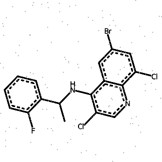 CC(Nc1c(Cl)cnc2c(Cl)cc(Br)cc12)c1ccccc1F